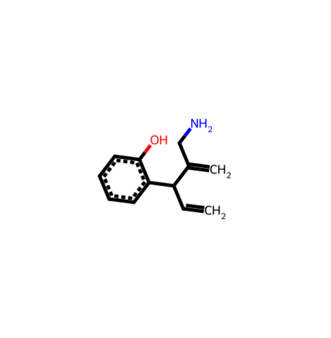 C=CC(C(=C)CN)c1ccccc1O